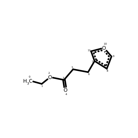 CCOC(=O)CCc1ccoc1